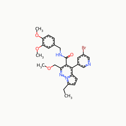 CCc1ccc2c(-c3cncc(Br)c3)c(C(=O)NCc3ccc(OC)c(OC)c3)c(COC)nn12